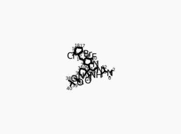 CN(C)C1CN(c2nc3c(F)c(Br)c(Cc4ccccc4Cl)cc3c3c2NC(=O)C32CCCN(C(=O)OC(C)(C)C)C2)C1